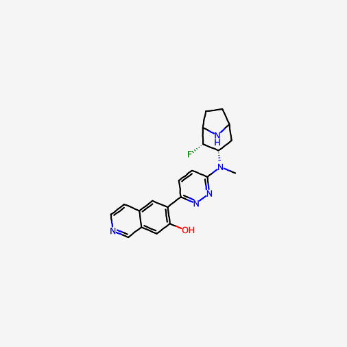 CN(c1ccc(-c2cc3ccncc3cc2O)nn1)[C@H]1CC2CCC(N2)[C@H]1F